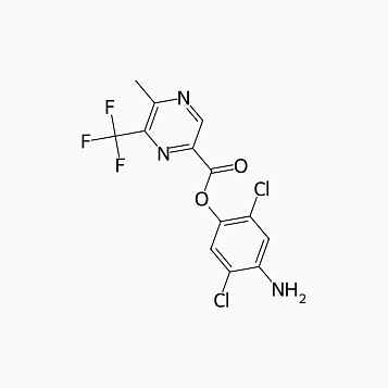 Cc1ncc(C(=O)Oc2cc(Cl)c(N)cc2Cl)nc1C(F)(F)F